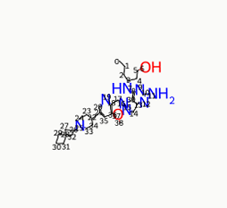 CCCC(CCO)Nc1nc(N)nc2cnn(Cc3ncc(C4CCN(C5CC6(CCC6)C5)CC4)cc3OC)c12